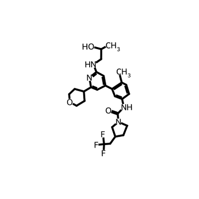 Cc1ccc(NC(=O)N2CCC(CC(F)(F)F)C2)cc1-c1cc(NCC(C)O)nc(C2CCOCC2)c1